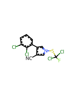 N#Cc1cn(SC(F)(Cl)Cl)cc1-c1cccc(Cl)c1Cl